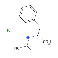 CC(C#N)NC(Cc1ccccc1)C(=O)O.Cl